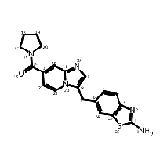 Nc1nc2ccc(Cc3cnc4cc(C(=O)N5CCCC5)ccn34)cc2s1